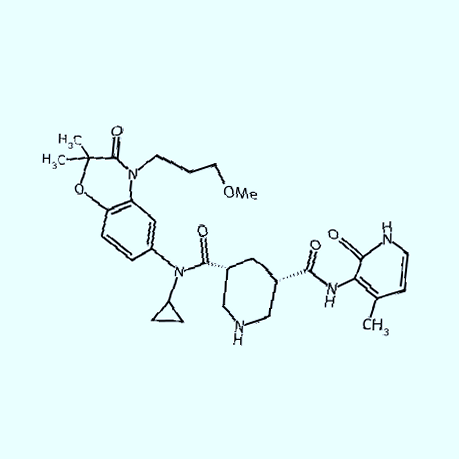 COCCCN1C(=O)C(C)(C)Oc2ccc(N(C(=O)[C@H]3CNC[C@@H](C(=O)Nc4c(C)cc[nH]c4=O)C3)C3CC3)cc21